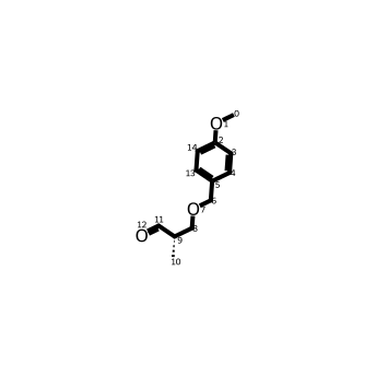 COc1ccc(COC[C@H](C)C=O)cc1